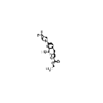 CCOC(=O)c1cc(Cc2ccc(N3CC4C(C3)C4(F)F)nc2CO)no1